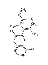 C=N/C(C)=C(\C)C(C(=O)N(CC)Cc1cc(CC)ncn1)=C(C)C